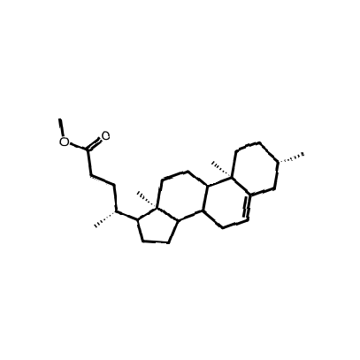 COC(=O)CC[C@@H](C)C1CCC2C3CC=C4C[C@@H](C)CC[C@]4(C)C3CC[C@@]21C